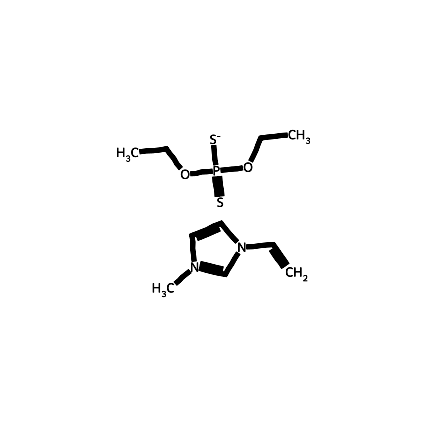 C=Cn1cc[n+](C)c1.CCOP(=S)([S-])OCC